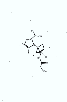 CC(C)C(O)c1nc(I)c(I)n1C12CC(C1)[C@@H](NC(=O)OC(C)(C)C)C2